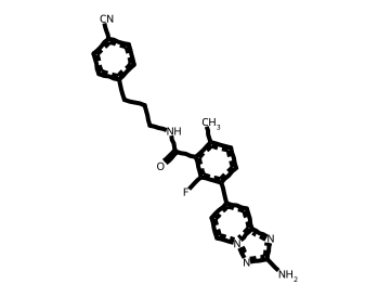 Cc1ccc(-c2ccn3nc(N)nc3c2)c(F)c1C(=O)NCCCc1ccc(C#N)cc1